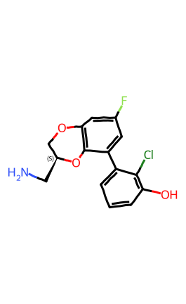 NC[C@H]1COc2cc(F)cc(-c3cccc(O)c3Cl)c2O1